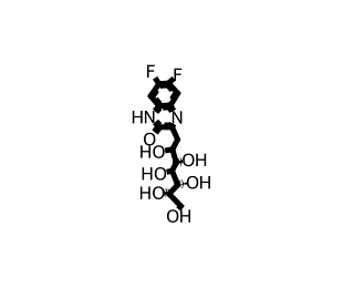 O=c1[nH]c2cc(F)c(F)cc2nc1CC(O)[C@@H](O)C(O)[C@H](O)[C@H](O)CO